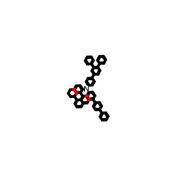 c1ccc(-c2ccc(-c3ccc(N(c4ccc(-c5ccc(-c6ccccc6)c(-c6ccccc6)c5)cc4)c4ccccc4-c4cccc5cccc(C6CCCCC6)c45)cc3)cc2)cc1